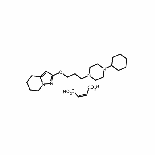 O=C(O)/C=C\C(=O)O.c1c(OCCCN2CCN(C3CCCCC3)CC2)nn2c1CCCC2